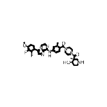 COc1ccc(-c2cnc3c(Nc4ccc(C(=O)N5CCN(C(=O)[C@]6(C)CNCC[C@H]6O)CC5)c(C)c4)nccn23)c(F)c1F